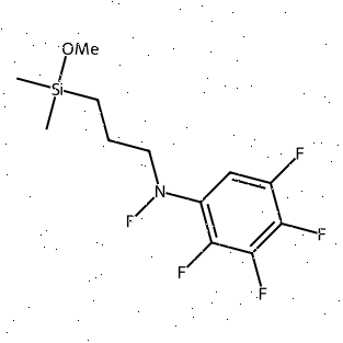 CO[Si](C)(C)CCCN(F)c1cc(F)c(F)c(F)c1F